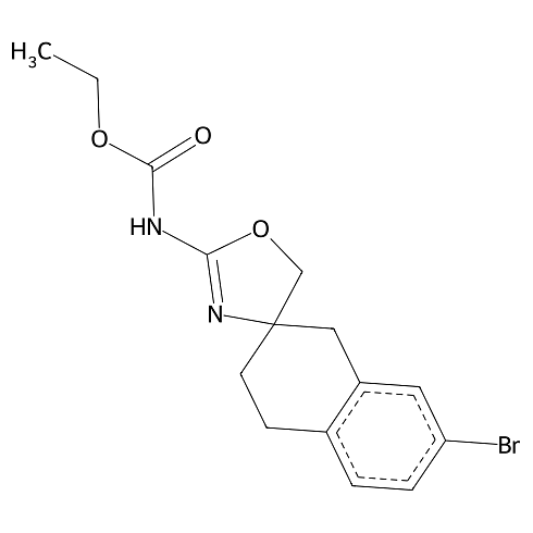 CCOC(=O)NC1=NC2(CCc3ccc(Br)cc3C2)CO1